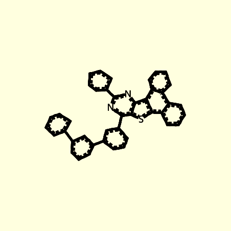 c1ccc(-c2cccc(-c3cccc(-c4nc(-c5ccccc5)nc5c4sc4c6ccccc6c6ccccc6c54)c3)c2)cc1